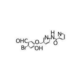 O=Cc1cc(OCc2ccc(NC(=O)c3ccccn3)nc2)c(O)cc1Br